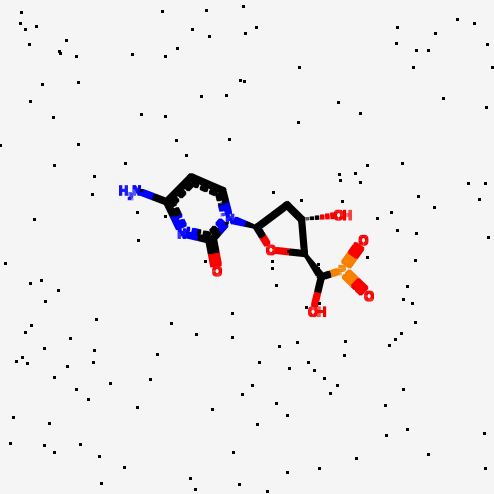 Nc1ccn([C@H]2C[C@H](O)[C@@H](C(O)P(=O)=O)O2)c(=O)n1